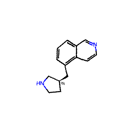 c1cc(C[C@H]2CCNC2)c2ccncc2c1